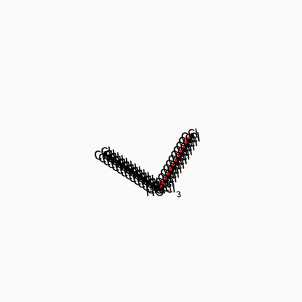 ClC(Cl)Cl.ClC(Cl)Cl.ClC(Cl)Cl.ClC(Cl)Cl.ClC(Cl)Cl.ClC(Cl)Cl.ClC(Cl)Cl.ClC(Cl)Cl.ClC(Cl)Cl.ClC(Cl)Cl.ClC(Cl)Cl.ClC(Cl)Cl.ClC(Cl)Cl.ClC(Cl)Cl.ClC(Cl)Cl.ClC(Cl)Cl.ClC(Cl)Cl.ClC(Cl)Cl.ClC(Cl)Cl.ClC(Cl)Cl.ClC(Cl)Cl.ClC(Cl)Cl.ClC(Cl)Cl.ClC(Cl)Cl.ClC(Cl)Cl.OCC(Cl)(Cl)Cl